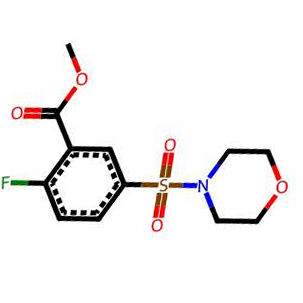 COC(=O)c1cc(S(=O)(=O)N2CCOCC2)ccc1F